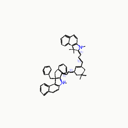 CN1/C(=C/C=C/C2=CC(=C/C=C/C3=[N+](C)c4ccc5ccccc5c4C3(Cc3ccccc3)Cc3ccccc3)/CC(C)(C)C2)C(C)(C)c2c1ccc1ccccc21